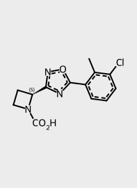 Cc1c(Cl)cccc1-c1nc([C@@H]2CCN2C(=O)O)no1